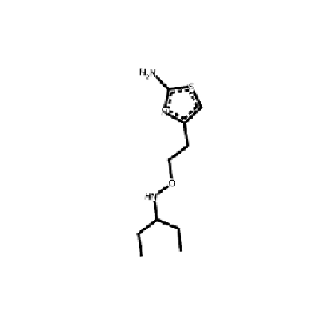 CCC(CC)NOCCc1csc(N)n1